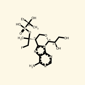 CC[C@](C)(O)P(=O)(O)OC(C)(CF)[C@@H]1CO[C@H]([C@H](O)CO)n2c1nc1c(N)ncnc12